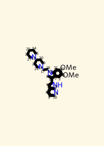 COc1cc2c(-c3cc4cccnc4[nH]3)cn(CCN3CCC(N4CCCCC4)CC3)c2cc1OC